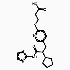 O=C(O)CCSc1ccc(CC(C(=O)Nc2nccs2)C2CCCC2)cn1